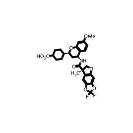 COc1ccc2c(c1)O[C@H](C1CCC(C(=O)O)CC1)C[C@@H]2NC(=O)[C@@]1(C)COc2cc3c(cc21)OC(F)(F)O3